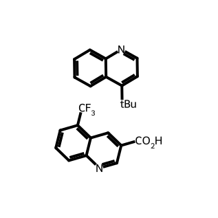 CC(C)(C)c1ccnc2ccccc12.O=C(O)c1cnc2cccc(C(F)(F)F)c2c1